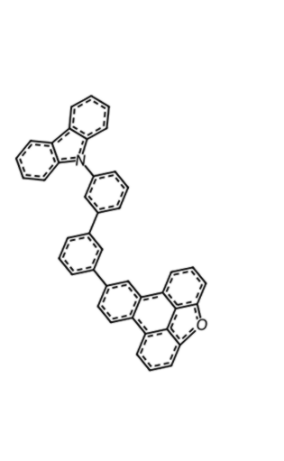 c1cc(-c2cccc(-n3c4ccccc4c4ccccc43)c2)cc(-c2ccc3c(c2)c2cccc4oc5cccc3c5c42)c1